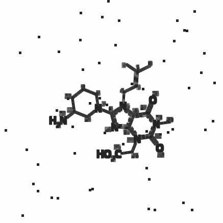 CC(C)=CCn1c(N2CCCC(N)C2)nc2c1c(=O)n(C)c(=O)n2CC(=O)O